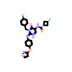 O=c1c(NC(=O)[C@H]2C[C@@H](F)C2)c[nH]/c(=N\c2ccc(Oc3ccon3)cc2)n1Cc1ccc(Cl)cc1